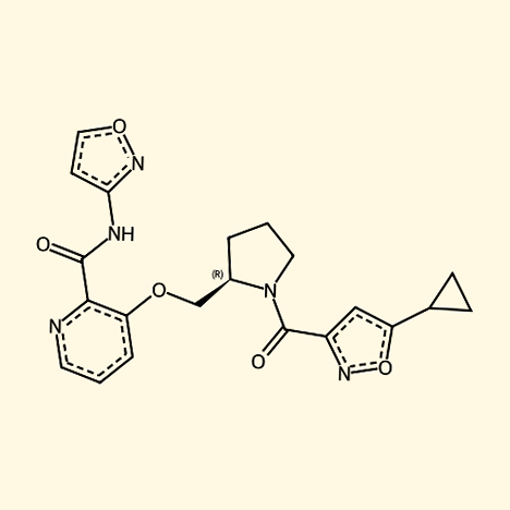 O=C(Nc1ccon1)c1ncccc1OC[C@H]1CCCN1C(=O)c1cc(C2CC2)on1